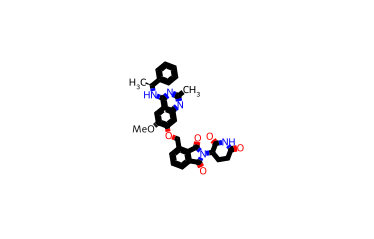 COc1cc2c(N[C@H](C)c3ccccc3)nc(C)nc2cc1OCc1cccc2c1C(=O)N(C1CCC(=O)NC1=O)C2=O